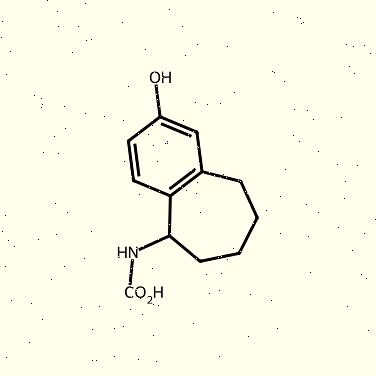 O=C(O)NC1CCCCc2cc(O)ccc21